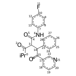 CC(C)C(=O)C(C(=O)Nc1ccc(F)cc1)C(C(=O)c1cccnc1)c1ccccc1